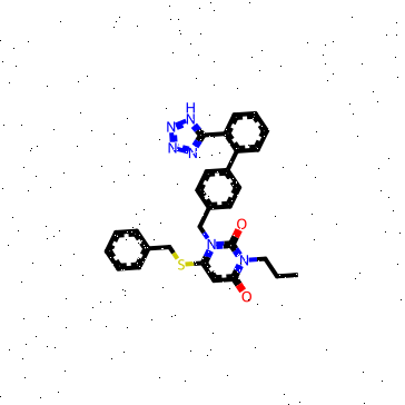 CCCn1c(=O)cc(SCc2ccccc2)n(Cc2ccc(-c3ccccc3-c3nnn[nH]3)cc2)c1=O